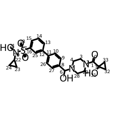 O=C(N1CCN(C(O)c2ccc(-c3cccc(S(=O)(=O)N(O)C4CC4)c3)cc2)CC1)C1(O)CC1